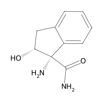 NC(=O)[C@]1(N)c2ccccc2C[C@H]1O